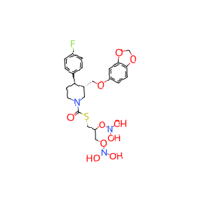 O=C(SCC(CON(O)O)ON(O)O)N1CC[C@@H](c2ccc(F)cc2)[C@H](COc2ccc3c(c2)OCO3)C1